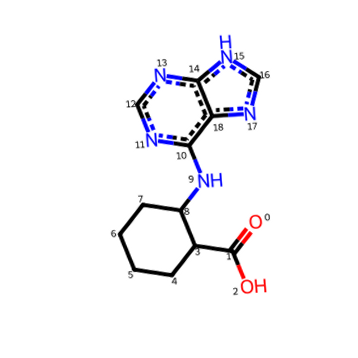 O=C(O)C1CCCCC1Nc1ncnc2[nH]cnc12